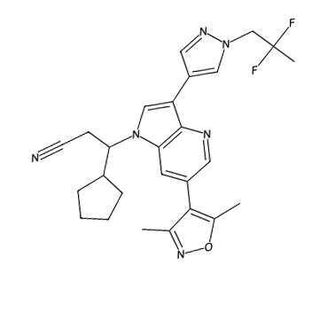 Cc1noc(C)c1-c1cnc2c(-c3cnn(CC(C)(F)F)c3)cn(C(CC#N)C3CCCC3)c2c1